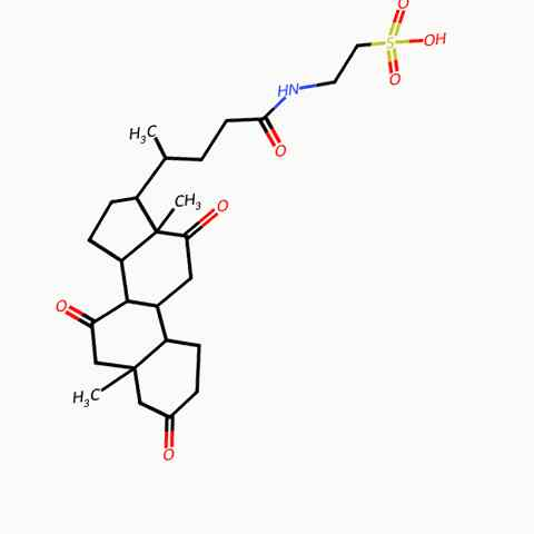 CC(CCC(=O)NCCS(=O)(=O)O)C1CCC2C3C(=O)CC4(C)CC(=O)CCC4C3CC(=O)C12C